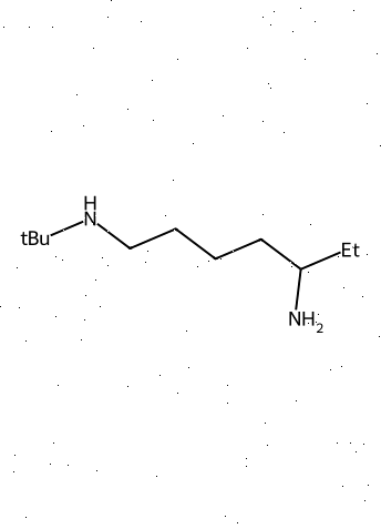 CCC(N)CCCCNC(C)(C)C